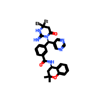 CCC1(CC)CC(=O)N([C@H](c2cncnc2)c2cccc(C(=O)N[C@H]3CC(C)(C)Oc4ccccc43)c2)C(=N)N1